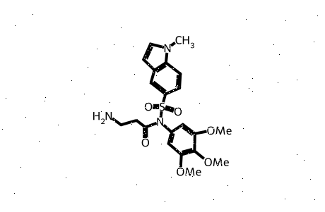 COc1cc(N(C(=O)CCN)S(=O)(=O)c2ccc3c(ccn3C)c2)cc(OC)c1OC